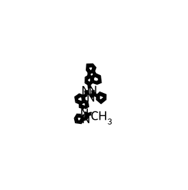 CCc1nc2ccccc2n1-c1ccc2c(-c3nc(-c4ccccc4)nc(-c4ccc5c6c(cccc46)-c4ccccc4-5)n3)cccc2c1